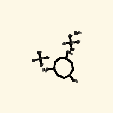 CN1CCN(C)CCN(C)CC1.[Cu+2].[O-][Cl+3]([O-])([O-])[O-].[O-][Cl+3]([O-])([O-])[O-]